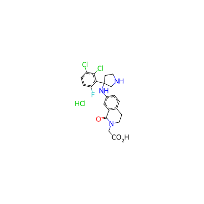 Cl.O=C(O)CN1CCc2ccc(NC3(c4c(F)ccc(Cl)c4Cl)CCNC3)cc2C1=O